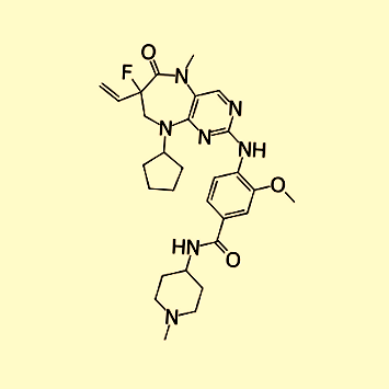 C=CC1(F)CN(C2CCCC2)c2nc(Nc3ccc(C(=O)NC4CCN(C)CC4)cc3OC)ncc2N(C)C1=O